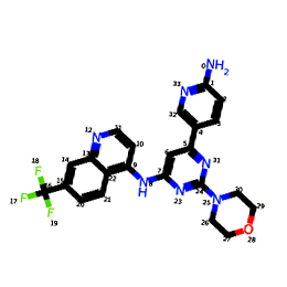 Nc1ccc(-c2cc(Nc3ccnc4cc(C(F)(F)F)ccc34)nc(N3CCOCC3)n2)cn1